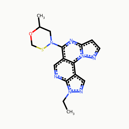 CCn1ncc2c1ncc1c(N3CC(C)OCS3)nc3ccnn3c12